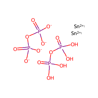 O=P(O)(O)OP(=O)(O)O.O=P([O-])([O-])OP(=O)([O-])[O-].[Sn+2].[Sn+2]